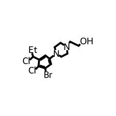 CCC(Cl)c1cc(N2CCN(CCO)CC2)cc(Br)c1Cl